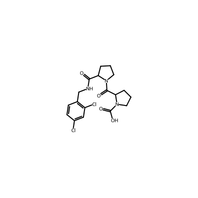 O=C(NCc1ccc(Cl)cc1Cl)C1CCCN1C(=O)C1CCCN1C(=O)O